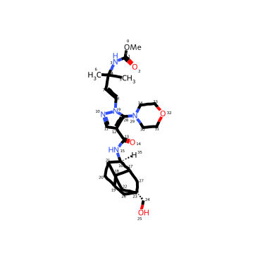 COC(=O)NC(C)(C)/C=C/n1ncc(C(=O)N[C@H]2C3CC4CC2C[C@](CO)(C4)C3)c1N1CCOCC1